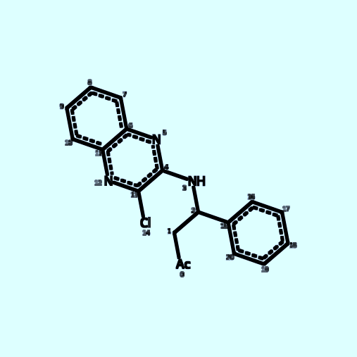 CC(=O)CC(Nc1nc2ccccc2nc1Cl)c1ccccc1